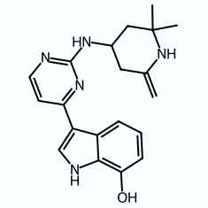 C=C1CC(Nc2nccc(-c3c[nH]c4c(O)cccc34)n2)CC(C)(C)N1